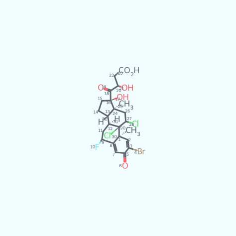 C[C@]12C=C(Br)C(=O)C=C1C(F)C[C@H]1[C@@H]3CC[C@](O)(C(=O)C(O)CC(=O)O)[C@@]3(C)CC(Cl)[C@@]12Cl